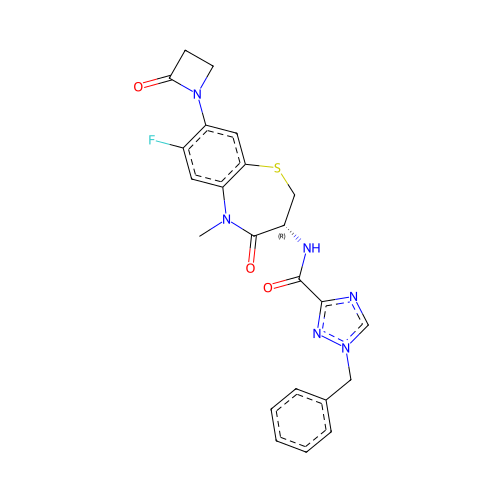 CN1C(=O)[C@@H](NC(=O)c2ncn(Cc3ccccc3)n2)CSc2cc(N3CCC3=O)c(F)cc21